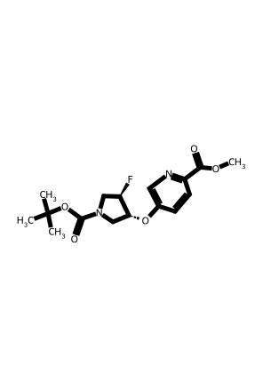 COC(=O)c1ccc(O[C@@H]2CN(C(=O)OC(C)(C)C)C[C@H]2F)cn1